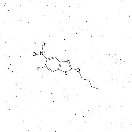 CCCCOc1nc2cc([N+](=O)[O-])c(F)cc2s1